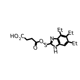 CCc1cc2[nH]c(SOC(=O)CCC(=O)O)nc2c(CC)c1CC